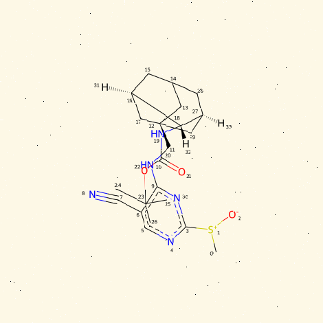 C[S+]([O-])c1ncc(C#N)c(NC[C@]23CC4C[C@H](C2)[C@@H](NC(=O)OC(C)(C)C)[C@@H](C4)C3)n1